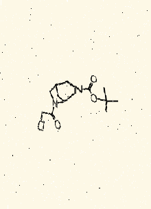 CC(C)(C)OC(=O)N1CC2CC1N(C(=O)CCl)C2